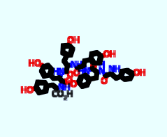 NC(Cc1ccc(O)cc1)C(=O)NC(Cc1ccc(O)cc1)C(=O)NC(Cc1ccc(O)cc1)C(=O)NC(Cc1ccc(O)cc1)C(=O)NC(Cc1ccc(O)cc1)C(=O)NC(Cc1ccc(O)cc1)C(=O)O